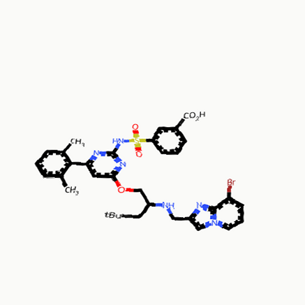 Cc1cccc(C)c1-c1cc(OCC(CC(C)(C)C)NCc2cn3cccc(Br)c3n2)nc(NS(=O)(=O)c2cccc(C(=O)O)c2)n1